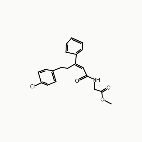 COC(=O)CNC(=O)/C=C(\CCc1ccc(Cl)cc1)c1ccccc1